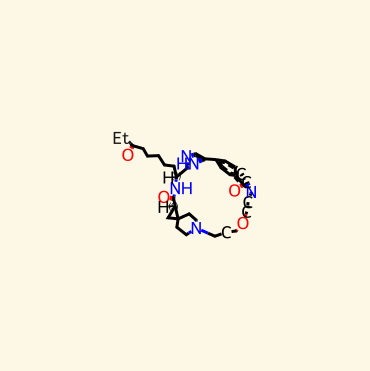 CCC(=O)CCCCC[C@@H]1NC(=O)[C@H]2CC23CCN(CCCOCCn2ccc4cc(ccc4c2=O)-c2cnc1[nH]2)CC3